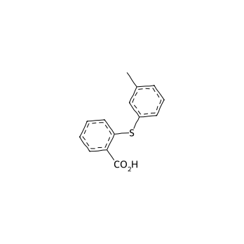 Cc1cccc(Sc2ccccc2C(=O)O)c1